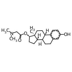 CN(C)CC(=O)O[C@@H]1CC[C@H]2[C@@H]3CCc4cc(O)ccc4[C@H]3CC[C@]12C